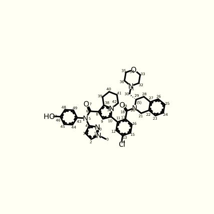 Cn1ccc(N(C(=O)c2cc(-c3cc(Cl)ccc3C(=O)N3Cc4ccccc4C[C@H]3CN3CCOCC3)n3c2CCCC3)c2ccc(O)cc2)n1